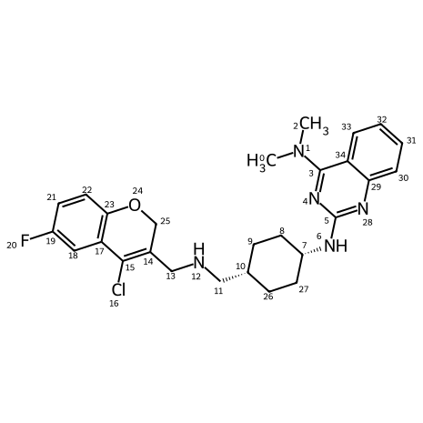 CN(C)c1nc(N[C@H]2CC[C@@H](CNCC3=C(Cl)c4cc(F)ccc4OC3)CC2)nc2ccccc12